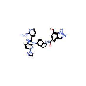 Nc1ncccc1-c1nc2ccc(-n3cccn3)nc2n1-c1ccc2c(c1)CC[C@@H]2NC(=O)c1cc(C=O)c2[nH]ncc2c1